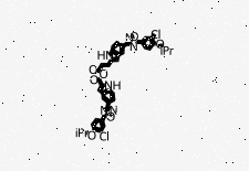 CC(C)Oc1ccc(-c2nc(-c3ccc4[nH]c(CCC(=O)OC(=O)c5cc6cc(-c7noc(-c8ccc(OC(C)C)c(Cl)c8)n7)ccc6[nH]5)cc4c3)no2)cc1Cl